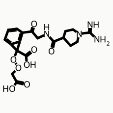 N=C(N)N1CCC(C(=O)NCC(=O)c2cccc3c2C3(OOCC(=O)O)C(=O)O)CC1